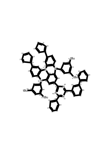 CC(C)(C)c1cc(N2c3ccc(-c4ccccc4)cc3B3c4cc(-c5ccccc5)ccc4N(c4cc(C(C)(C)C)cc(C(C)(C)C)c4)c4cc(-c5nc(-c6ccccc6)nc(-c6cccc(-c7ccccc7)c6)n5)cc2c43)cc(C(C)(C)C)c1